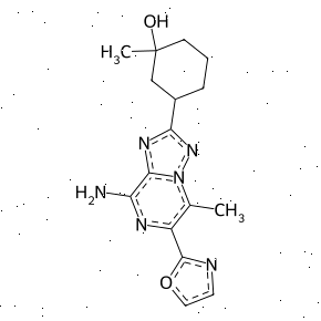 Cc1c(-c2ncco2)nc(N)c2nc(C3CCCC(C)(O)C3)nn12